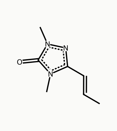 CC=Cc1nn(C)c(=O)n1C